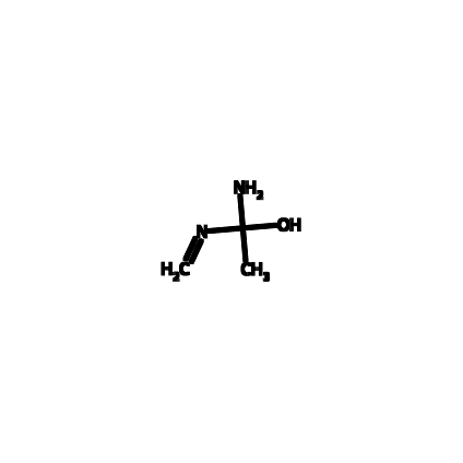 C=NC(C)(N)O